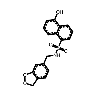 O=S(=O)(NCc1ccc2c(c1)OOC2)c1cccc2c(O)cccc12